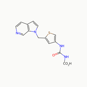 O=C(O)NC(=O)Nc1csc(Cn2ccc3ccncc32)c1